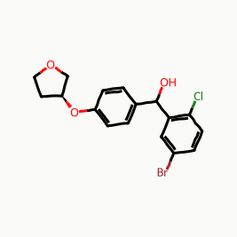 OC(c1ccc(O[C@H]2CCOC2)cc1)c1cc(Br)ccc1Cl